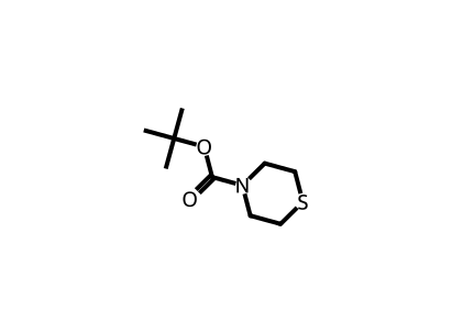 CC(C)(C)OC(=O)N1CCSCC1